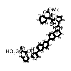 COC(=O)NC(C(=O)N1CCC[C@H]1c1nc2c([nH]1)-c1ccc(-c3ccc4cc(-c5cnc([C@@H]6CCCN6C(=O)C(NC(=O)O)C(C)C)[nH]5)ccc4c3)cc1CC2)c1ccccc1